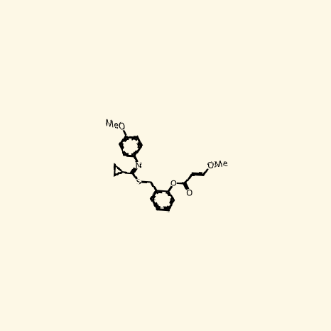 COC=CC(=O)Oc1ccccc1CSC(=Nc1ccc(OC)cc1)C1CC1